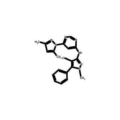 Cc1cc(C)n(-c2cc(Nc3nn(C)c(-c4ccccc4)c3Cl)ncn2)n1